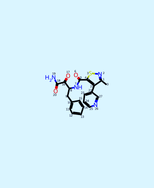 Cc1nsc(C(=O)NC(Cc2ccccc2)C(=O)C(N)=O)c1-c1cccnc1